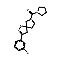 O=C(N1CCCC1)N1CCC2(CC(c3cccc(Cl)c3)=NO2)C1